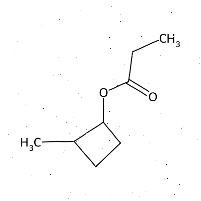 CCC(=O)OC1CCC1C